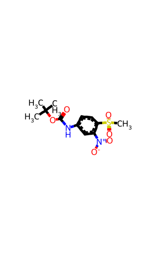 CC(C)(C)OC(=O)Nc1ccc(S(C)(=O)=O)c([N+](=O)[O-])c1